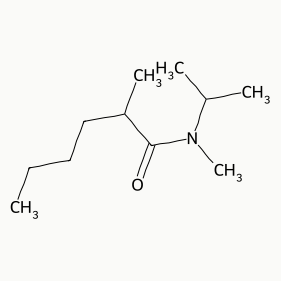 CCCCC(C)C(=O)N(C)C(C)C